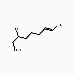 CC=CCCCC(C)C[C]=O